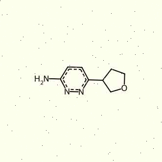 Nc1ccc(C2CCOC2)nn1